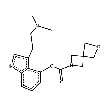 CN(C)CCc1c[nH]c2cccc(OC(=O)N3CC4(COC4)C3)c12